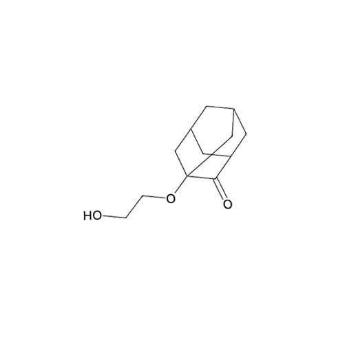 O=C1C2CC3CC(C2)CC1(OCCO)C3